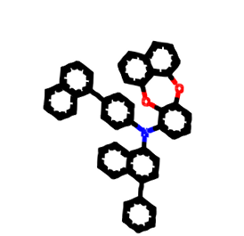 c1ccc(-c2ccc(N(c3ccc(-c4cccc5ccccc45)cc3)c3cccc4c3Oc3cccc5cccc(c35)O4)c3ccccc23)cc1